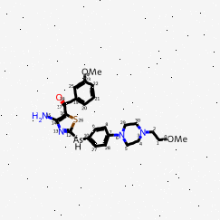 COCCN1CCN(c2ccc([AsH]c3nc(N)c(C(=O)c4cccc(OC)c4)s3)cc2)CC1